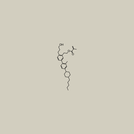 C=C(C)C(=O)OCCc1cc(-c2ccc(C3CCC(CCCCC)CC3)cc2C)ccc1CCCO